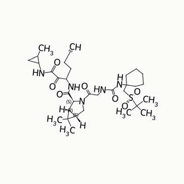 C#CCCC(NC(=O)[C@@H]1[C@@H]2[C@H](CN1C(=O)CNC(=O)NC1(CS(=O)(=O)C(C)(C)C)CCCCC1)C2(C)C)C(=O)C(=O)NC1CC1C